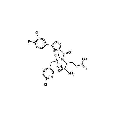 CC(C)(Cc1ccc(Cl)cc1)N(C(=O)c1ccc(-c2ccc(F)c(Cl)c2)s1)[C@@H](CCC(=O)O)C(N)=O